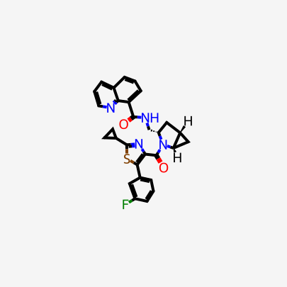 O=C(NC[C@@H]1C[C@@H]2C[C@@H]2N1C(=O)c1nc(C2CC2)sc1-c1cccc(F)c1)c1cccc2cccnc12